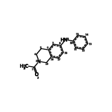 CC(=O)N1CCc2cc(Nc3ccccc3)ccc2C1